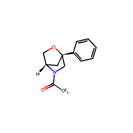 O=C(N1C[C@]2(c3ccccc3)C[C@H]1CO2)C(F)(F)F